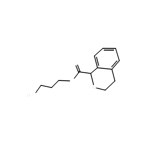 CCCCOC(=O)C1NCCc2c[c]ccc21